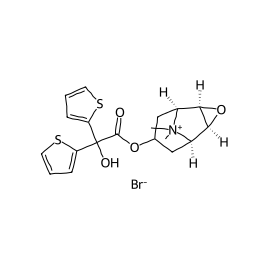 C[N+]1(C)[C@@H]2CC(OC(=O)C(O)(c3cccs3)c3cccs3)C[C@H]1[C@H]1O[C@H]12.[Br-]